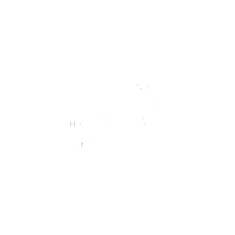 CCC(C)COc1ccc(N)c(C(F)(F)F)c1